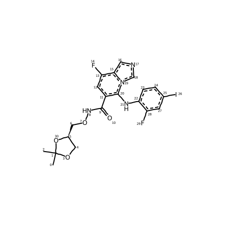 CC1(C)OC[C@H](CONC(=O)c2cc(F)c3cncn3c2Nc2ccc(I)cc2F)O1